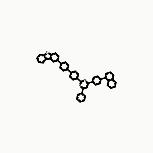 c1ccc(-c2cc(-c3ccc(-c4cccc5ccccc45)cc3)nc(-c3ccc(-c4ccc(-c5ccc6oc7ccccc7c6c5)cc4)cc3)n2)cc1